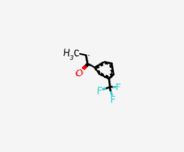 C[CH]C(=O)c1cccc(C(F)(F)F)c1